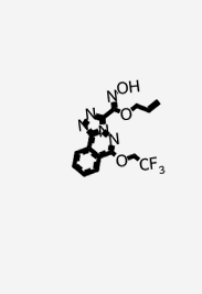 C=CCOC(=NO)c1nnc2c3ccccc3c(OCC(F)(F)F)nn12